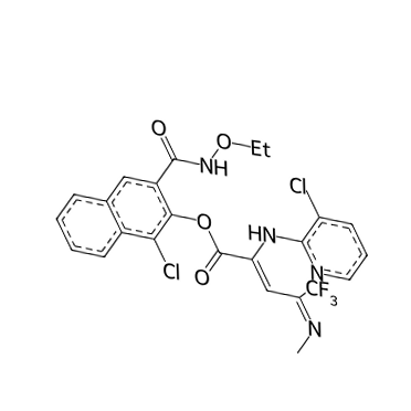 CCONC(=O)c1cc2ccccc2c(Cl)c1OC(=O)/C(=C/C(=N\C)C(F)(F)F)Nc1ncccc1Cl